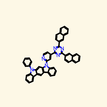 c1ccc(-n2c3ccccc3c3cc4c5ccccc5n(-c5cc(-c6nc(-c7ccc8ccccc8c7)nc(-c7ccc8ccccc8c7)n6)ccn5)c4cc32)cc1